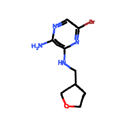 Nc1ncc(Br)nc1NCC1CCOC1